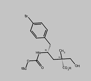 CC(C)(C)OC(=O)N[C@H](Cc1ccc(Br)cc1)C[C@@](C)(CO)C(=O)O